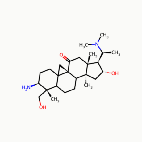 C[C@@H]([C@H]1[C@H](O)C[C@@]2(C)C3CCC4C5(CC[C@H](N)[C@@]4(C)CO)C[C@@]35C(=O)C[C@]12C)N(C)C